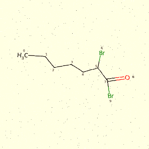 CCCCCC(Br)C(=O)Br